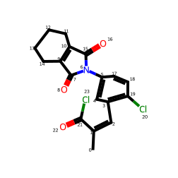 CC(=Cc1cc(N2C(=O)C3=C(CCCC3)C2=O)ccc1Cl)C(=O)Cl